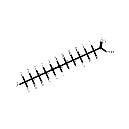 C=C(C(=O)OCC)C(F)(F)C(F)(F)C(F)(F)C(F)(F)C(F)(F)C(F)(F)C(F)(F)C(F)(F)C(F)(F)C(F)(F)C(F)(F)C(F)(F)F